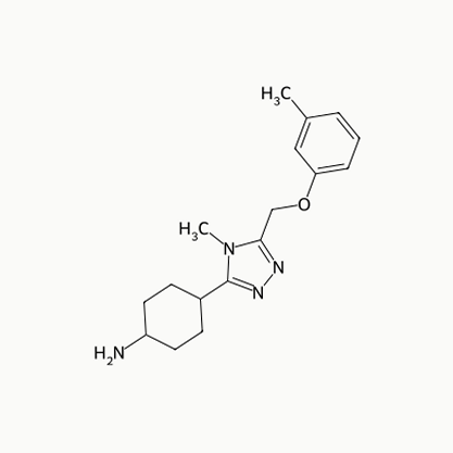 Cc1cccc(OCc2nnc(C3CCC(N)CC3)n2C)c1